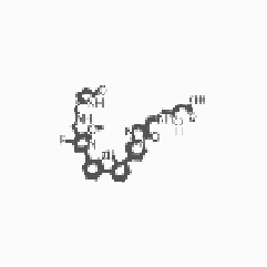 COc1nc(-c2cccc(-c3cccc(-c4ccn5c(=O)c(CNC[C@H](O)CC(=O)O)cnc5c4)c3Cl)c2Cl)cc(F)c1CNC[C@H]1CCC(=O)N1